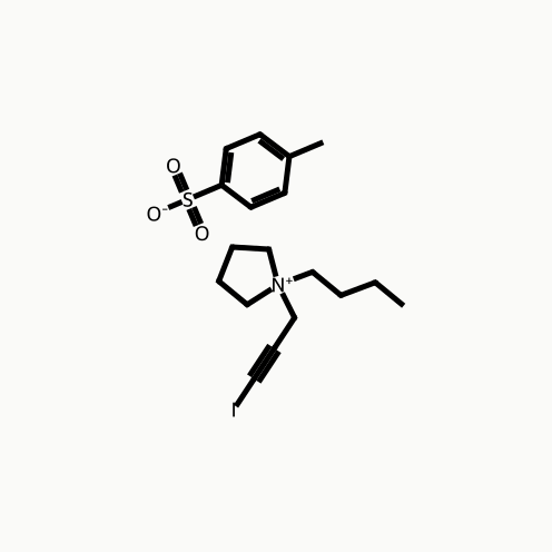 CCCC[N+]1(CC#CI)CCCC1.Cc1ccc(S(=O)(=O)[O-])cc1